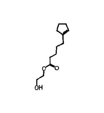 O=C(CCCCC1=CCCC1)OCCO